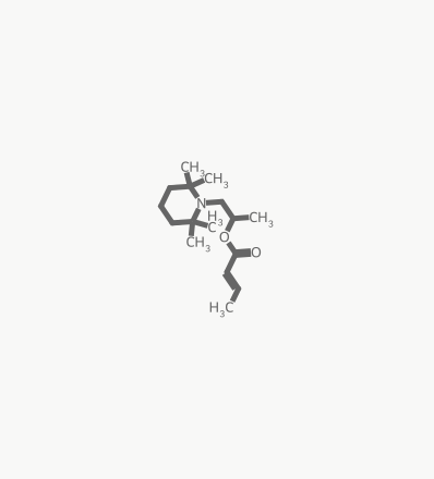 CC=CC(=O)OC(C)CN1C(C)(C)CCCC1(C)C